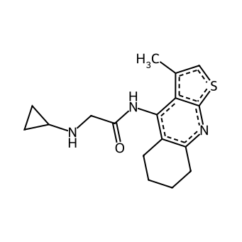 Cc1csc2nc3c(c(NC(=O)CNC4CC4)c12)CCCC3